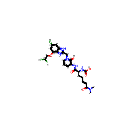 CN(C)C(=O)/C=C/CC[C@H](NC(=O)O)C(=O)Nc1cccn(Cc2nc3c(OCC(F)F)cc(F)cc3[nH]2)c1=O